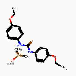 CCOc1ccc(NC(=S)Nc2ccc(OCC)cc2)cc1.C[S+](C)[O-].[NaH]